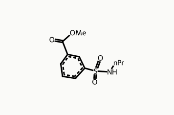 CCCNS(=O)(=O)c1cccc(C(=O)OC)c1